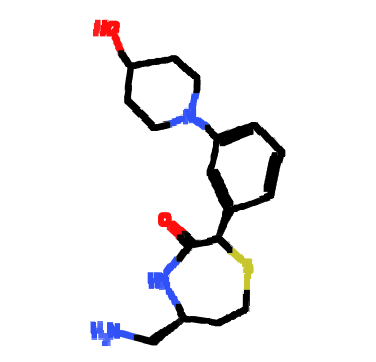 NC[C@@H]1CCS[C@H](c2cccc(N3CCC(O)CC3)c2)C(=O)N1